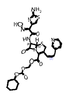 Nc1nc(C(=NO)C(=O)N[C@@H]2C(=O)N3C(C(=O)OCOC(=O)OC4CCCCC4)=C(/C=C\c4cccnc4)CS[C@@H]23)cs1